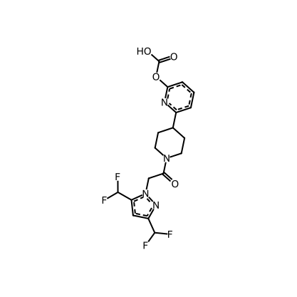 O=C(O)Oc1cccc(C2CCN(C(=O)Cn3nc(C(F)F)cc3C(F)F)CC2)n1